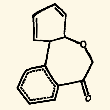 O=C1COC2C=CC=CC2c2ccccc21